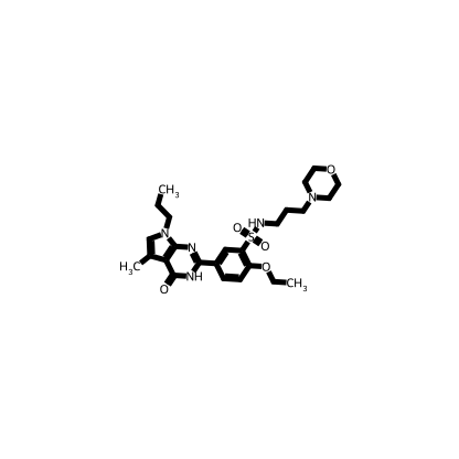 CCCn1cc(C)c2c(=O)[nH]c(-c3ccc(OCC)c(S(=O)(=O)NCCCN4CCOCC4)c3)nc21